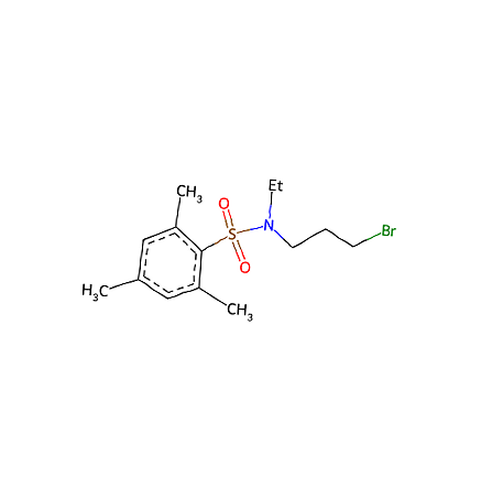 CCN(CCCBr)S(=O)(=O)c1c(C)cc(C)cc1C